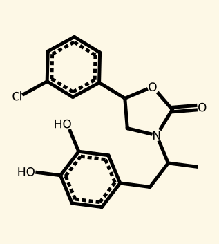 CC(Cc1ccc(O)c(O)c1)N1CC(c2cccc(Cl)c2)OC1=O